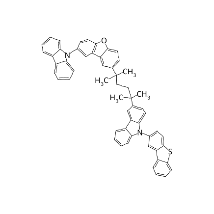 CC(C)(CCC(C)(C)c1ccc2c(c1)c1ccccc1n2-c1ccc2sc3ccccc3c2c1)c1ccc2oc3ccc(-n4c5ccccc5c5ccccc54)cc3c2c1